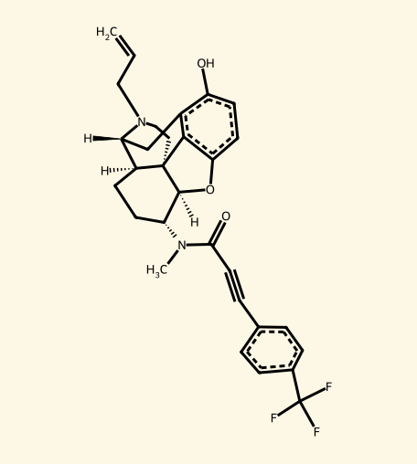 C=CCN1CC[C@@]23c4c5ccc(O)c4C[C@@H]1[C@@H]2CC[C@@H](N(C)C(=O)C#Cc1ccc(C(F)(F)F)cc1)[C@@H]3O5